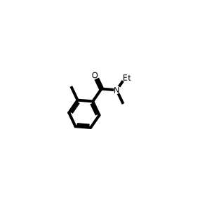 CCN(C)C(=O)c1ccccc1C